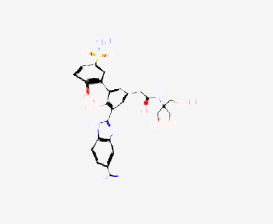 N=C(N)c1ccc2[nH]c(-c3cc(CC(=O)NC(CO)(CO)CO)cc(-c4cc(S(N)(=O)=O)ccc4O)c3O)nc2c1